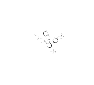 CCOC(=O)CN(C)C(=O)NC(Cc1ccccc1)(c1cccc(OC(F)(F)F)c1)c1cccc(OC(F)(F)F)c1